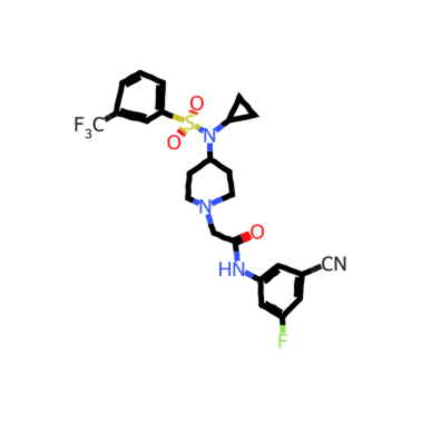 N#Cc1cc(F)cc(NC(=O)CN2CCC(N(C3CC3)S(=O)(=O)c3cccc(C(F)(F)F)c3)CC2)c1